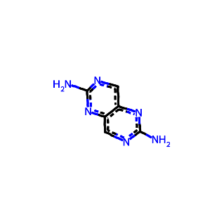 Nc1ncc2nc(N)ncc2n1